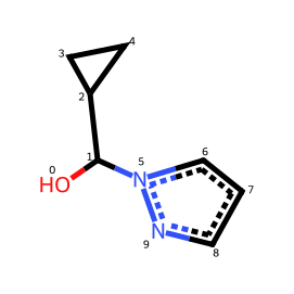 OC(C1CC1)n1cccn1